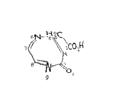 CC(=O)O.O=c1ccnccn1